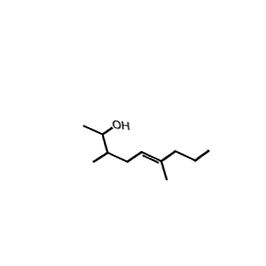 CCC/C(C)=C/CC(C)C(C)O